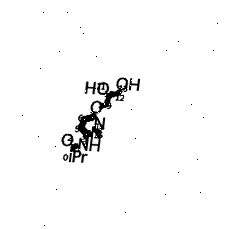 CC(C)C(=O)Nc1ccc(OC[C@H](O)CO)nn1